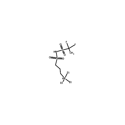 CC[PH](CC)(CC)CCCS(=O)(=O)NS(=O)(=O)C(C)(F)F